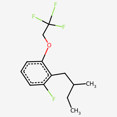 CCC(C)Cc1c(F)cccc1OCC(F)(F)F